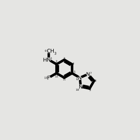 CNc1ccc(-n2nccn2)cc1F